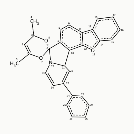 CC1=CC(C)O[C@]2(O1)c1ccc3c(oc4ccccc43)c1C1C=C(c3ccccc3)C=CN12